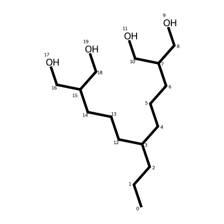 CCCC(CCCC(CO)CO)CCCC(CO)CO